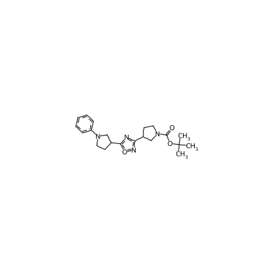 CC(C)(C)OC(=O)N1CCC(c2noc(C3CCN(c4ccccc4)C3)n2)C1